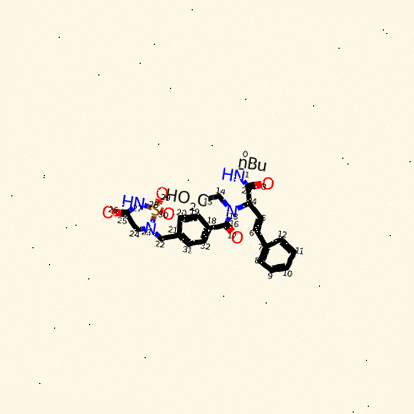 CCCCNC(=O)C(C=Cc1ccccc1)N(CC(=O)O)C(=O)c1ccc(CN2CC(=O)NS2(=O)=O)cc1